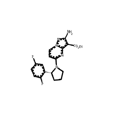 CCOC(=O)c1c(N)nn2ccc(N3CCC[C@@H]3c3cc(F)ccc3F)nc12